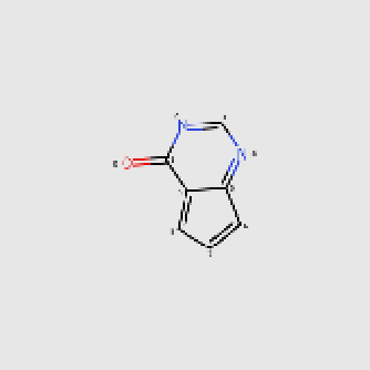 O=C1N=CN=C2C=CC=C12